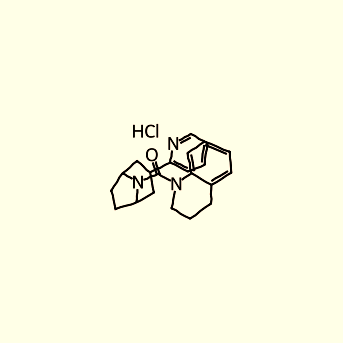 Cl.O=C(N1CCCc2ccccc21)N1C2CCC1CC(c1ccccn1)C2